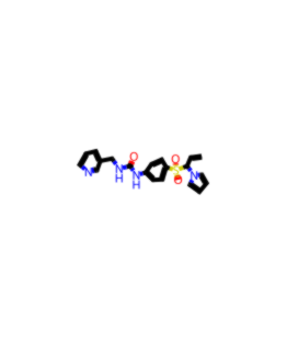 C=CC(n1cccc1)S(=O)(=O)c1ccc(NC(=O)NCc2cccnc2)cc1